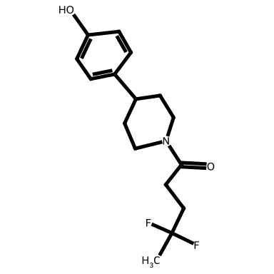 CC(F)(F)CCC(=O)N1CCC(c2ccc(O)cc2)CC1